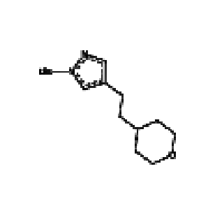 CC(C)(C)n1cc(CCC2CCOCC2)cn1